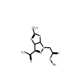 CC(C)(C)OC(=O)CN1N=C(C(N)=O)C2N=C(C(=O)O)SC21